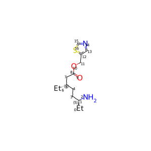 CC[C@H](N)CC[C@H](CC)CC(=O)OCc1cncs1